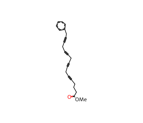 COC(=O)CCCC#CCC#CCC#CCC#CCc1ccccc1